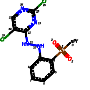 CCCS(=O)(=O)c1ccccc1NNc1nc(Cl)ncc1Cl